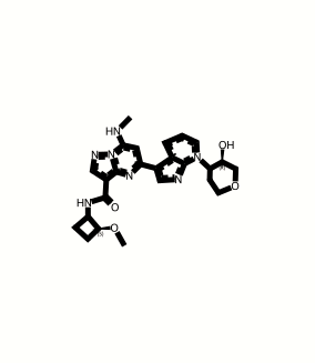 CNc1cc(-c2cnc3n(C4CCOC[C@@H]4O)cccc2-3)nc2c(C(=O)NC3CC[C@@H]3OC)cnn12